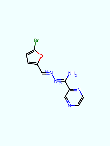 N/C(=N\N=C\c1ccc(Br)o1)c1cnccn1